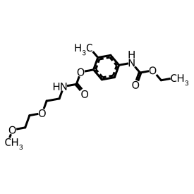 CCOC(=O)Nc1ccc(OC(=O)NCCOCCOC)c(C)c1